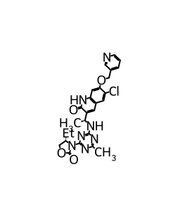 CC[C@H]1COC(=O)N1c1nc(C)nc(N[C@@H](C)c2cc3cc(Cl)c(OCc4cccnc4)cc3[nH]c2=O)n1